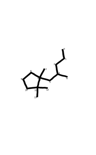 CCCC(C)CC1(C)CCCC1(C)C